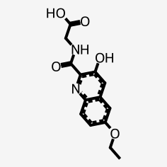 CCOc1ccc2nc(C(=O)NCC(=O)O)c(O)cc2c1